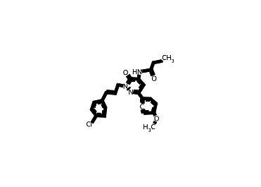 CCCC(=O)Nc1cc(-c2ccc(OC)cc2)nn(CC=Cc2ccc(Cl)cc2)c1=O